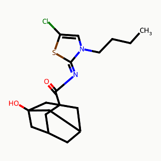 CCCCn1cc(Cl)s/c1=N\C(=O)C12CC3CC(CC(O)(C3)C1)C2